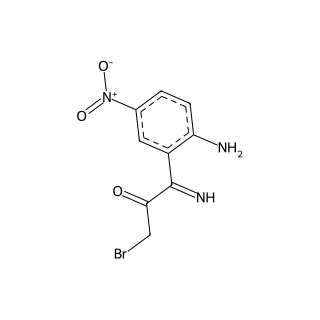 N=C(C(=O)CBr)c1cc([N+](=O)[O-])ccc1N